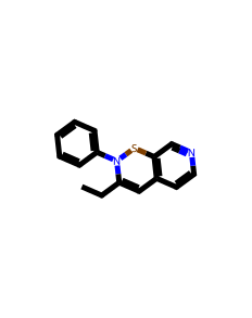 CCC1=Cc2ccncc2SN1c1ccccc1